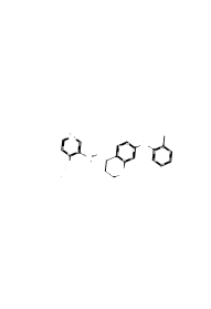 Cc1ccccc1Sc1ccc2c(c1)OCC[C@@H]2CNc1cnccc1C(=O)O